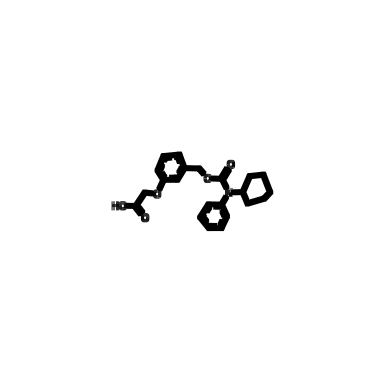 O=C(O)COc1cccc(COC(=O)N(c2ccccc2)C2CCCCC2)c1